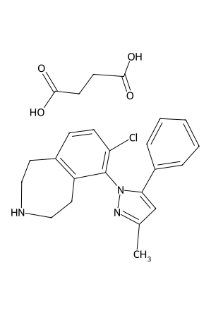 Cc1cc(-c2ccccc2)n(-c2c(Cl)ccc3c2CCNCC3)n1.O=C(O)CCC(=O)O